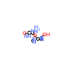 CC(Oc1cc2cc(C(N)=O)ccc2nc1N)c1cc2c(cnn2CCO)cc1-n1cccn1